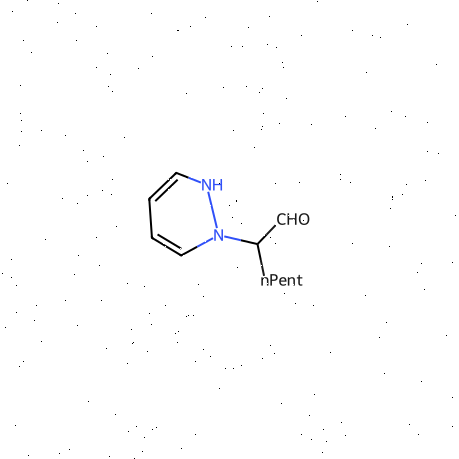 CCCCCC(C=O)N1C=CC=CN1